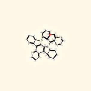 c1ccc(-n2c3ccccc3c3c4ncccc4c4c5ccccc5n(-c5cccc6nccnc56)c4c32)cc1